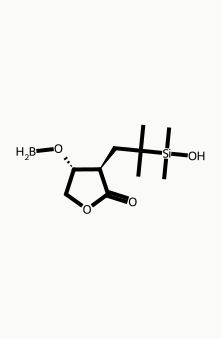 BO[C@H]1COC(=O)[C@@H]1CC(C)(C)[Si](C)(C)O